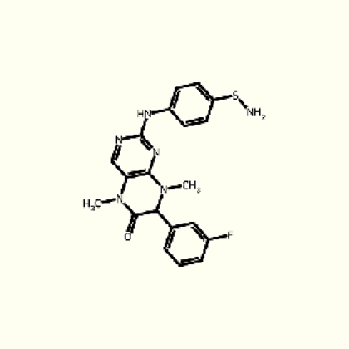 CN1C(=O)C(c2cccc(F)c2)N(C)c2nc(Nc3ccc(SN)cc3)ncc21